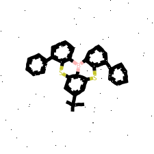 CC(C)(C)c1cc2c3c(c1)Sc1c(cccc1-c1ccccc1)B3c1cccc(-c3ccccc3)c1S2